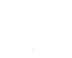 CNc1[nH]ncc1-c1ccc(-c2ccsc2)nc1